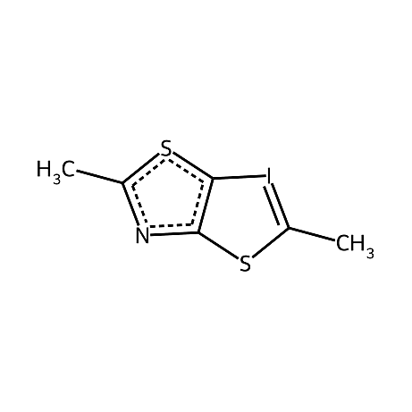 CC1=Ic2sc(C)nc2S1